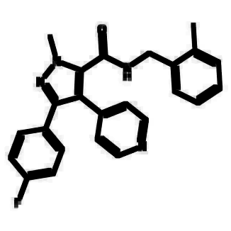 Cc1ccccc1CNC(=O)c1c(-c2ccncc2)c(-c2ccc(F)cc2)nn1C